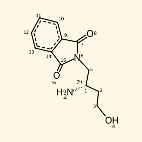 N[C@@H](CCO)CN1C(=O)c2ccccc2C1=O